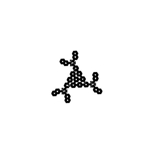 c1ccc(-c2cc(-c3ccccc3-c3ccc(-c4ccc(-c5nc(-c6ccc7ccccc7c6)nc(-c6ccc7ccccc7c6)n5)cn4)cc3)cc(-c3ccccc3-c3ccc(-c4ccc(-c5nc(-c6ccc7ccccc7c6)nc(-c6ccc7ccccc7c6)n5)cn4)cc3)c2)c(-c2ccc(-c3ccc(-c4nc(-c5ccc6ccccc6c5)nc(-c5ccc6ccccc6c5)n4)cn3)cc2)c1